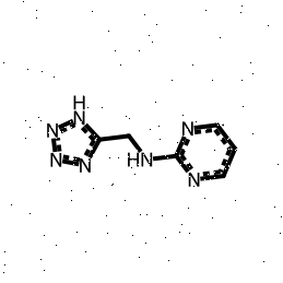 [c]1ccnc(NCc2nnn[nH]2)n1